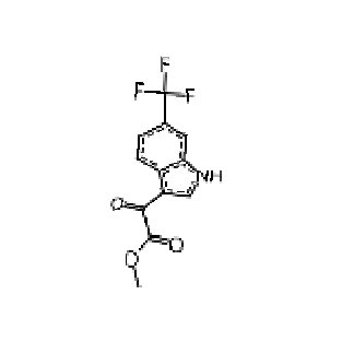 COC(=O)C(=O)c1c[nH]c2cc(C(F)(F)F)ccc12